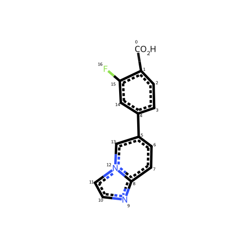 O=C(O)c1ccc(-c2ccc3nccn3c2)cc1F